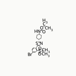 CC(C)OC(=O)N[C@H]1CC[C@H](c2ncc(-c3ccc(Br)cc3S(=O)(=O)C(C)C)s2)CC1